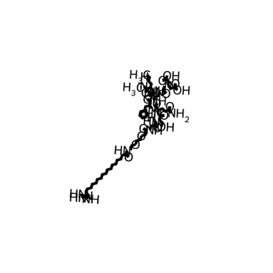 CCCCC(NC(=O)C(CNC(=O)CN(CC(=O)O)CC(=O)O)NC(=O)C(Cc1ccccc1)NC(=O)C(CCC(N)=O)NC(=O)C(CO)NC(=O)CNC(=O)COCCOCCNC(=O)CCCCCCCCCCCCCCCC1=NNNN1)C(=O)NC